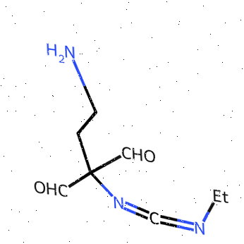 CCN=C=NC(C=O)(C=O)CCN